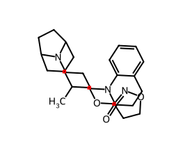 CC(COC1=NOCC1)C1CC2CCC(C1)N2CCCN1C(=O)CCc2ccccc21